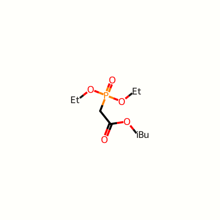 CCOP(=O)(CC(=O)OC(C)CC)OCC